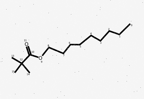 CCCCCCCCCOC(=O)C(C)(C)C